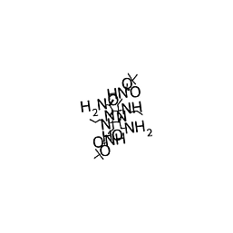 CCCNC1(CCNC(=O)OC(C)(C)C)N=C(C(N)=O)C(CCNC(=O)OC(C)(C)C)(NCCC)N=C1C(N)=O